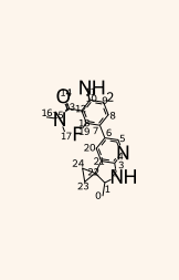 CC1Nc2ncc(-c3ccc(N)c(C(=O)N(C)C)c3F)cc2C12CC2